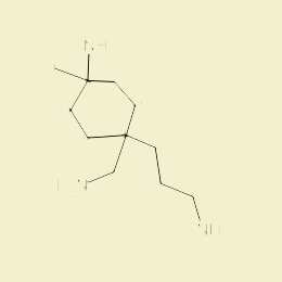 CC1(N)CCC(CN)(CCCN)CC1